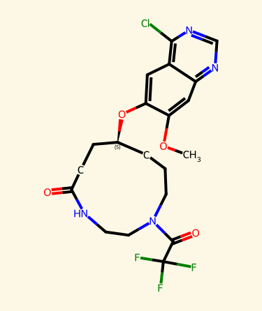 COc1cc2ncnc(Cl)c2cc1O[C@H]1CCCN(C(=O)C(F)(F)F)CCNC(=O)CC1